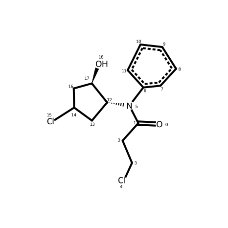 O=C(CCCl)N(c1ccccc1)[C@@H]1CC(Cl)C[C@H]1O